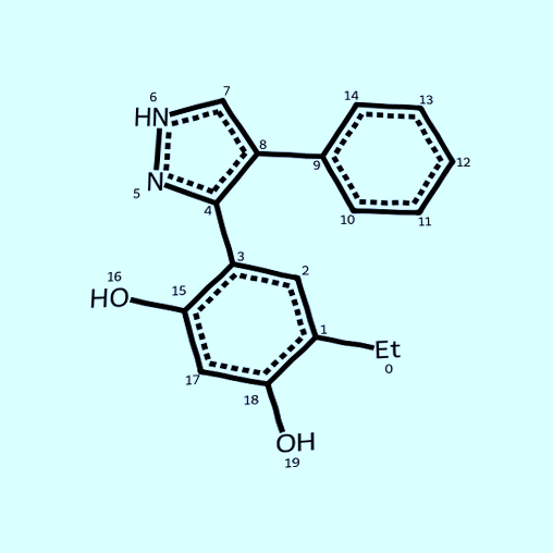 CCc1cc(-c2n[nH]cc2-c2ccccc2)c(O)cc1O